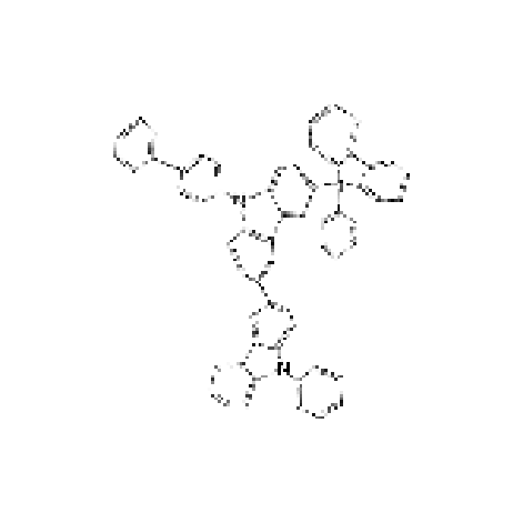 c1ccc(-c2ccc(-n3c4ccc(-c5ccc6c(c5)c5ccccc5n6-c5ccccc5)cc4c4cc(C5(c6ccccc6)c6ccccc6-c6ccccc65)ccc43)cc2)cc1